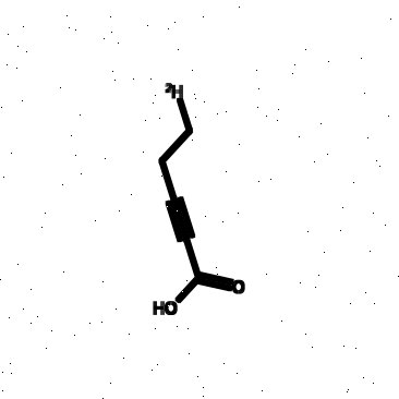 [2H]CCC#CC(=O)O